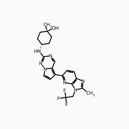 Cc1nc2ccc(-c3ccn4nc(N[C@H]5CC[C@@](C)(O)CC5)ncc34)nc2n1CC(F)(F)F